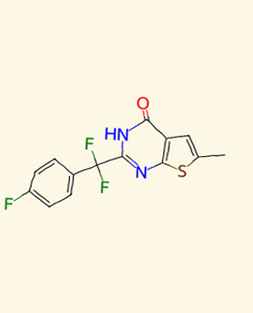 Cc1cc2c(=O)[nH]c(C(F)(F)c3ccc(F)cc3)nc2s1